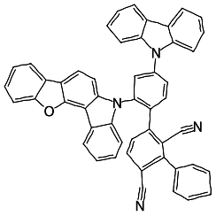 N#Cc1ccc(-c2ccc(-n3c4ccccc4c4ccccc43)cc2-n2c3ccccc3c3c4oc5ccccc5c4ccc32)c(C#N)c1-c1ccccc1